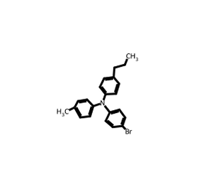 CCCc1ccc(N(c2ccc(C)cc2)c2ccc(Br)cc2)cc1